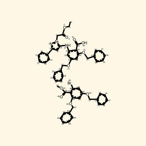 CCOC(=O)Cn1nc(-c2ccccc2)cc1Nc1cc(OCc2ccccc2)cc(OCc2ccccc2)c1C(=O)O.COC(=O)c1c(Br)cc(OCc2ccccc2)cc1OCc1ccccc1